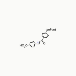 CCCCCOc1ccc(C(=O)/C=C/c2ccc(C(=O)O)cc2)cc1